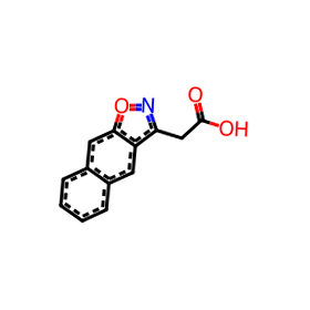 O=C(O)Cc1noc2cc3ccccc3cc12